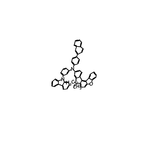 C[Si]1(C)c2cc(N(c3ccc(-c4ccc5ccccc5c4)cc3)c3cccc(-n4c5ccccc5c5ccccc54)c3)ccc2-c2c1ccc1oc3ccccc3c21